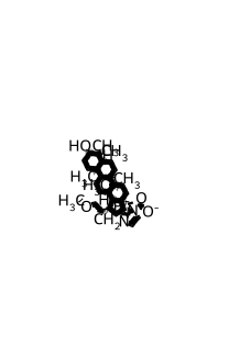 C=C(COC)[C@@H]1CC[C@]2(C[N+]3(C(=O)[O-])C=CN=N3)CC[C@]3(C)[C@H](CCC4[C@@]5(C)CC[C@H](O)C(C)(C)[C@@H]5CC[C@]43C)[C@@H]12